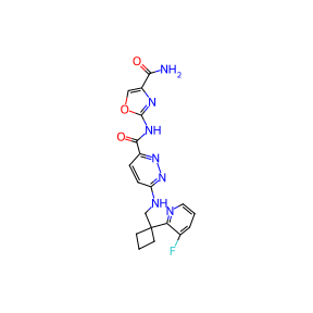 NC(=O)c1coc(NC(=O)c2ccc(NCC3(c4ncccc4F)CCC3)nn2)n1